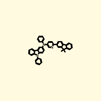 CC1(C)c2ccccc2-c2ccc(-c3ccc(N(c4ccccc4)c4ccc5c(c4)c4ccccc4n5-c4ccccc4)cn3)cc21